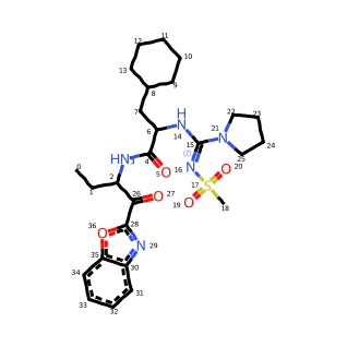 CCC(NC(=O)C(CC1CCCCC1)N/C(=N/S(C)(=O)=O)N1CCCC1)C(=O)c1nc2ccccc2o1